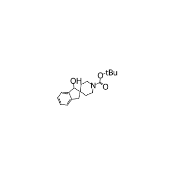 CC(C)(C)OC(=O)N1CCC2(CC1)Cc1ccccc1C2O